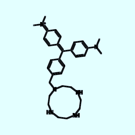 CN(C)c1ccc(C(=C2C=CC(=[N+](C)C)C=C2)c2ccc(CN3CCNCCNCCNCC3)cc2)cc1